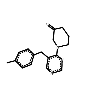 Cc1ccc(Cc2cncnc2N2CCCC(=O)C2)cc1